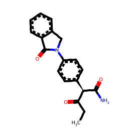 CCC(=O)[C@H](C(N)=O)c1ccc(N2Cc3ccccc3C2=O)cc1